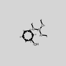 CO[Si](OC)OC.Oc1ccccc1